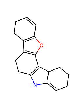 C1=Cc2oc3c(c2CC1)CCC1=C3C2CCCC=C2N1